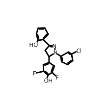 Oc1ccccc1C1=NN(c2cccc(Cl)c2)C(c2cc(F)c(O)c(F)c2)C1